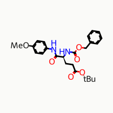 COc1ccc(NC(=O)[C@H](CCC(=O)OC(C)(C)C)NC(=O)OCc2ccccc2)cc1